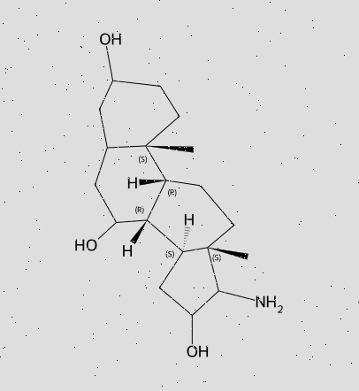 C[C@]12CCC(O)CC1CC(O)[C@@H]1[C@H]2CC[C@]2(C)C(N)C(O)C[C@@H]12